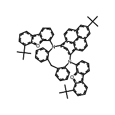 CC(C)(C)c1cc2ccc3c4cc(c5ccc(c1)c2c35)N(c1cccc2c1oc1c(C(C)(C)C)cccc12)c1ccccc1Cc1ccccc1N4c1cccc2c1oc1c(C(C)(C)C)cccc12